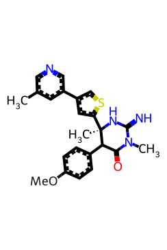 COc1ccc(C2C(=O)N(C)C(=N)N[C@]2(C)c2cc(-c3cncc(C)c3)cs2)cc1